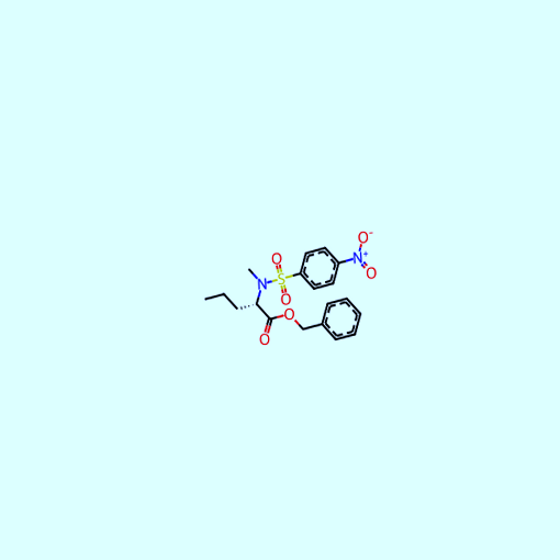 CCC[C@@H](C(=O)OCc1ccccc1)N(C)S(=O)(=O)c1ccc([N+](=O)[O-])cc1